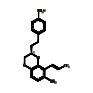 CC=Cc1c([N+](=O)[O-])ccc2c1O[C@H](CCc1ccc(S(=O)(=O)O)cc1)CO2